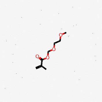 C=C(C)C(=O)OCOCCOC